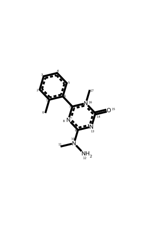 Cc1ccccc1-c1nc(N(C)N)nc(=O)n1C